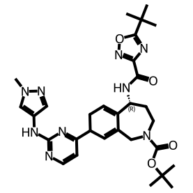 Cn1cc(Nc2nccc(C3C=C4CN(C(=O)OC(C)(C)C)CC[C@@H](NC(=O)c5noc(C(C)(C)C)n5)C4=CC3)n2)cn1